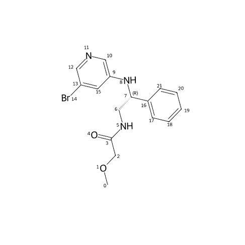 COCC(=O)NC[C@H](Nc1cncc(Br)c1)c1ccccc1